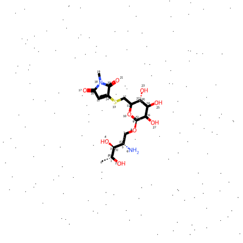 C[C@@H](O)[C@@H](O)[C@@H](N)CO[C@H]1OC(CSC2=CC(=O)N(C)C2=O)[C@H](O)C(O)C1O